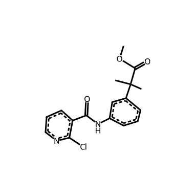 COC(=O)C(C)(C)c1cccc(NC(=O)c2cccnc2Cl)c1